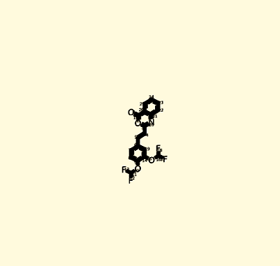 O=c1oc(C=Cc2ccc(OC(F)F)c(OC(F)F)c2)nc2ccccc12